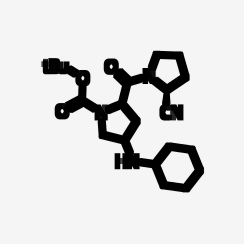 CC(C)(C)OC(=O)N1CC(NC2CCCCC2)CC1C(=O)N1CCC[C@H]1C#N